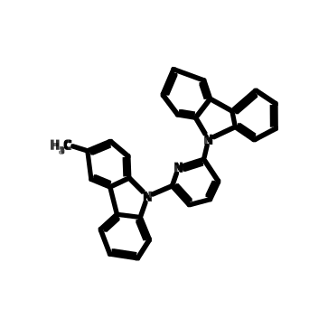 Cc1ccc2c(c1)c1ccccc1n2-c1cccc(-n2c3ccccc3c3ccccc32)n1